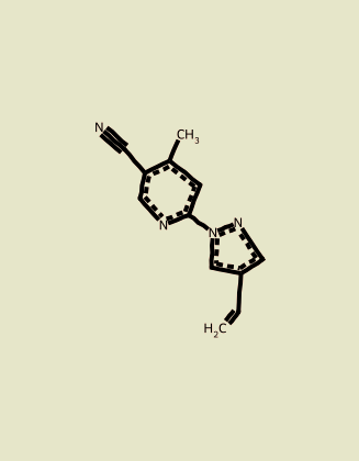 C=Cc1cnn(-c2cc(C)c(C#N)cn2)c1